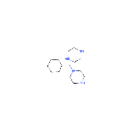 C1CCC(CN2CCNCC2)CC1.C1CNCCN1